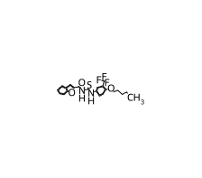 CCCCCOc1ccc(NC(=S)NC(=O)c2cc3ccccc3o2)cc1C(F)(F)F